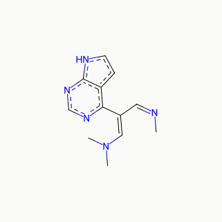 C/N=C\C(=C\N(C)C)c1ncnc2[nH]ccc12